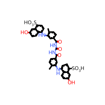 Cc1ccc(C(=O)NC(=O)NC(=O)c2ccc(C)c(Nc3ccc(S(=O)(=O)O)c4cc(O)ccc34)c2)cc1Nc1ccc(S(=O)(=O)O)c2cc(O)ccc12